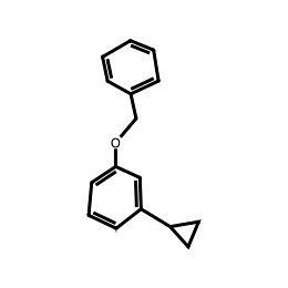 [c]1ccc(OCc2ccccc2)cc1C1CC1